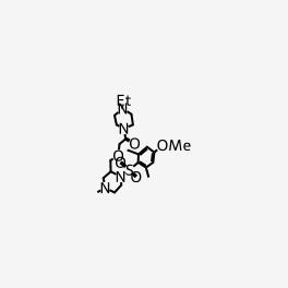 CCN1CCN(C(=O)COCC2CN(C)CCN2S(=O)(=O)c2c(C)cc(OC)cc2C)CC1